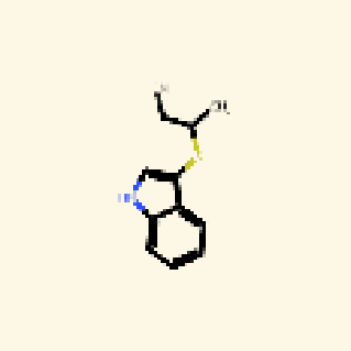 CC(CC#N)Sc1c[nH]c2ccccc12